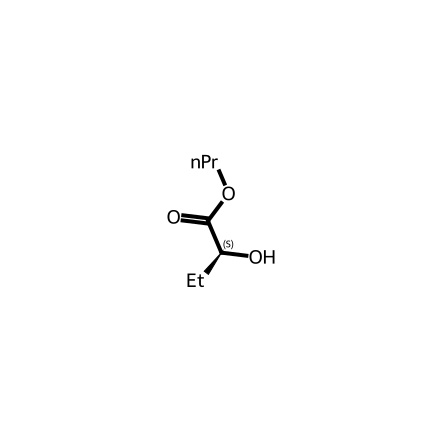 CCCOC(=O)[C@@H](O)CC